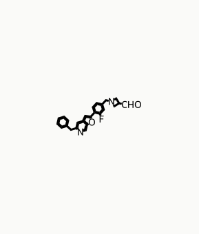 O=CC1CN(Cc2ccc(-c3cc4cc(Cc5ccccc5)ncc4o3)c(F)c2)C1